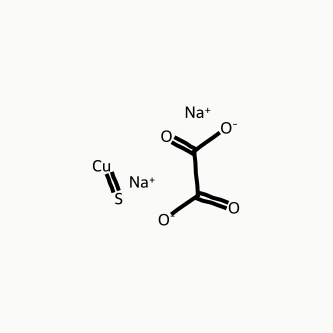 O=C([O-])C(=O)[O-].[Na+].[Na+].[S]=[Cu]